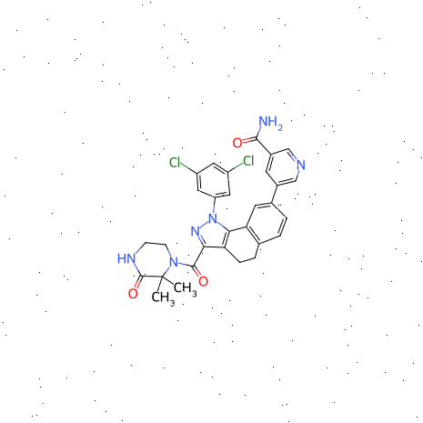 CC1(C)C(=O)NCCN1C(=O)c1nn(-c2cc(Cl)cc(Cl)c2)c2c1CCc1ccc(-c3cncc(C(N)=O)c3)cc1-2